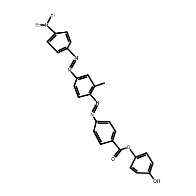 CCN(CC)c1ccc(N=Nc2ccc(N=Nc3ccc(C(=O)Oc4ccc(O)cc4)cc3)c(C)c2)cc1